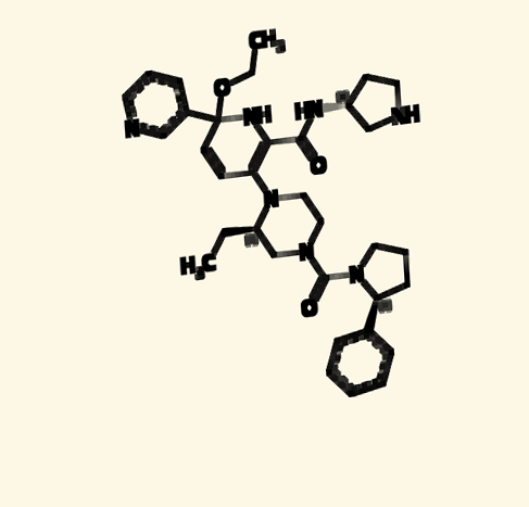 CCOC1(c2cccnc2)C=CC(N2CCN(C(=O)N3CCC[C@H]3c3ccccc3)C[C@H]2CC)=C(C(=O)N[C@@H]2CCNC2)N1